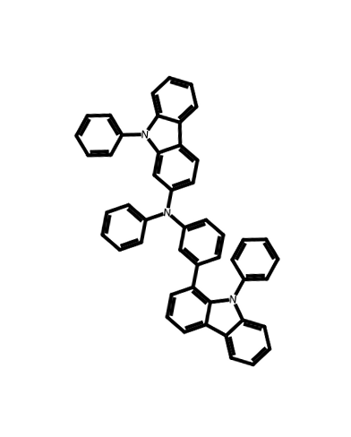 c1ccc(N(c2cccc(-c3cccc4c5ccccc5n(-c5ccccc5)c34)c2)c2ccc3c4ccccc4n(-c4ccccc4)c3c2)cc1